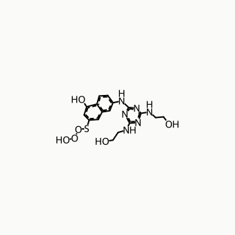 OCCNc1nc(NCCO)nc(Nc2ccc3c(O)cc(SOOO)cc3c2)n1